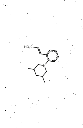 CC1CC(C)CN(c2ccccc2/C=C/C(=O)O)C1